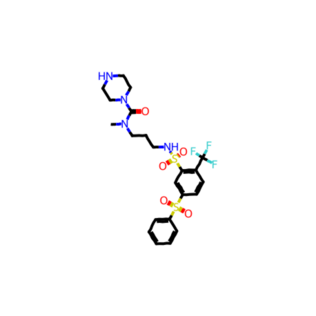 CN(CCCNS(=O)(=O)c1cc(S(=O)(=O)c2ccccc2)ccc1C(F)(F)F)C(=O)N1CCNCC1